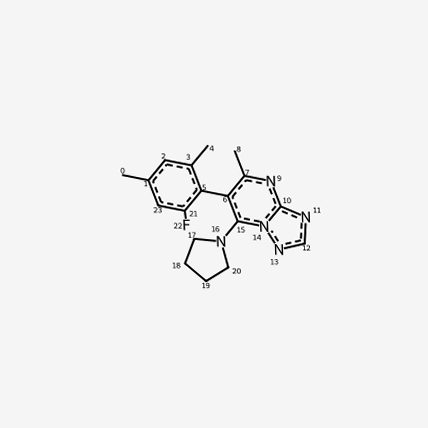 Cc1cc(C)c(-c2c(C)nc3ncnn3c2N2CCCC2)c(F)c1